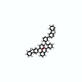 c1cc(-c2ccc3sc4ccccc4c3c2)cc(N(c2ccc(-c3ccc4c(c3)oc3ccccc34)cc2)c2ccccc2-c2ccc3ccccc3c2)c1